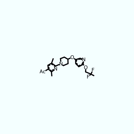 CC(=O)c1cc(C)c(N2CCC(Oc3ccc(OCC(C)(F)F)nc3)CC2)nc1C